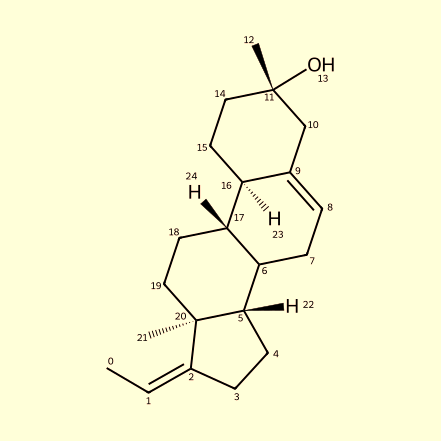 C/C=C1/CC[C@H]2C3CC=C4C[C@@](C)(O)CC[C@@H]4[C@H]3CC[C@]12C